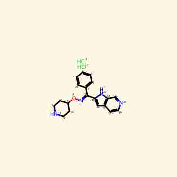 Cl.Cl.c1ccc(C(=NOC2CCNCC2)c2cc3ccncc3[nH]2)cc1